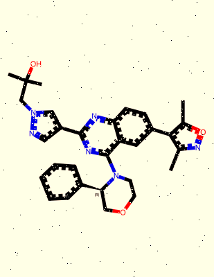 Cc1noc(C)c1-c1ccc2nc(-c3cnn(CC(C)(C)O)c3)nc(N3CCOC[C@H]3c3ccccc3)c2c1